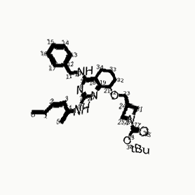 C=C/C=C\C(=C)Nc1nc(NCc2ccccc2)c2c(n1)[C@@H](OCC1CN(C(=O)OC(C)(C)C)C1)CCC2